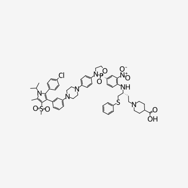 Cc1c(S(C)(=O)=O)c(-c2cccc(N3CCN(c4ccc(N5CCO[P@]5(=O)c5ccc(N[C@H](CCN6CCC(C(=O)O)CC6)CSc6ccccc6)c([N+](=O)[O-])c5)cc4)CC3)c2)c(-c2ccc(Cl)cc2)n1C(C)C